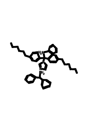 BC(c1ccccc1)c1ccccc1.CCCCCCc1ccc(C([SiH2]c2ccccc2)(c2ccc(CCCCCC)cc2)n2ccnc2)cc1